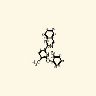 Cc1ccc(-c2ncc3ccccc3n2)nc1Oc1ccccc1C(C)C